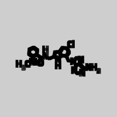 CNc1ccccc1C(=O)NCc1cc2cc(Cl)cc(Cn3cnc4c(N)ncnc43)c2[nH]1